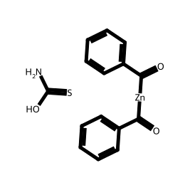 NC(O)=S.O=[C]([Zn][C](=O)c1ccccc1)c1ccccc1